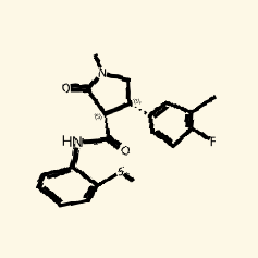 CSc1ccccc1NC(=O)[C@H]1C(=O)N(C)C[C@@H]1c1ccc(F)c(C)c1